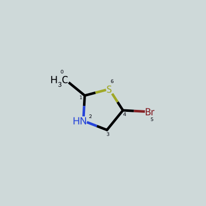 CC1NCC(Br)S1